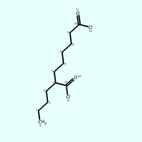 CCCCC(CCCCCC(=O)Cl)C(=O)Cl